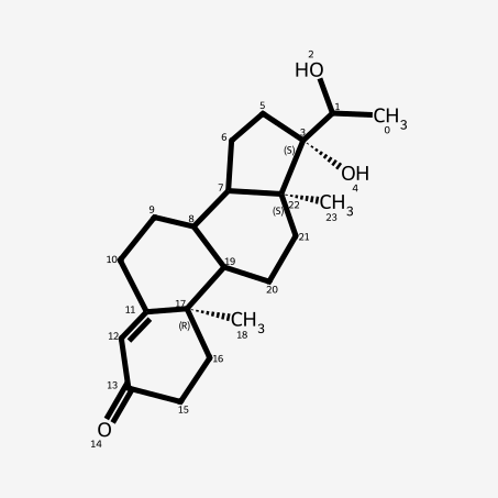 CC(O)[C@]1(O)CCC2C3CCC4=CC(=O)CC[C@]4(C)C3CC[C@@]21C